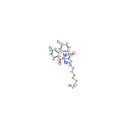 CCCCCCCCC(C(=O)c1ccc(F)cc1)C(N)(N)C(=O)c1ccc(F)cc1